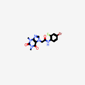 Cn1c(=O)c2c(ncn2CC(=O)Nc2ccc(Br)cc2F)n(C)c1=O